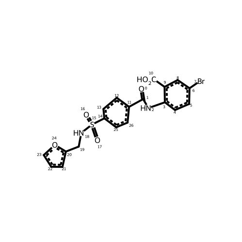 O=C(Nc1ccc(Br)cc1C(=O)O)c1ccc(S(=O)(=O)NCc2ccco2)cc1